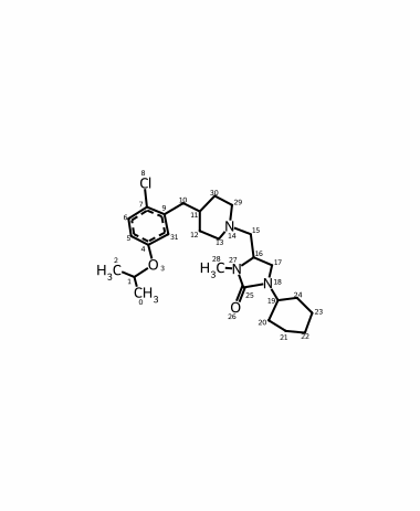 CC(C)Oc1ccc(Cl)c(CC2CCN(CC3CN(C4CCCCC4)C(=O)N3C)CC2)c1